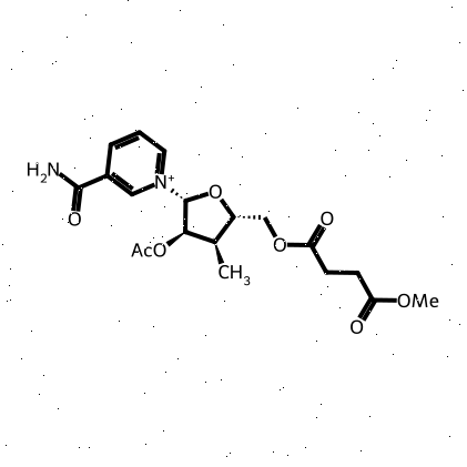 COC(=O)CCC(=O)OC[C@H]1O[C@@H]([n+]2cccc(C(N)=O)c2)[C@H](OC(C)=O)[C@@H]1C